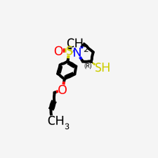 C=S(=O)(c1ccc(OCC#CC)cc1)N1CC[C@@H](S)C1